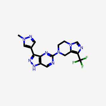 Cn1cc(-c2n[nH]c3cnc(N4CCn5cnc(C(F)(F)F)c5C4)nc23)cn1